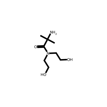 CC(C)(N)C(=O)N(CCO)CCO